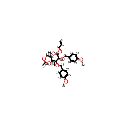 C=CCO[C@@H]1O[C@@H]2COC(C)O[C@H]2[C@H](OCc2ccc(OC)cc2)[C@H]1OCc1ccc(OC)cc1